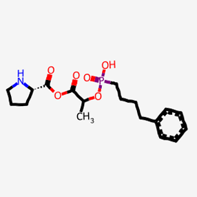 CC(OP(=O)(O)CCCCc1ccccc1)C(=O)OC(=O)[C@@H]1CCCN1